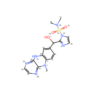 CN1c2ccc(C(O)c3nccn3S(=O)(=O)N(C)C)cc2Nc2nccnc21